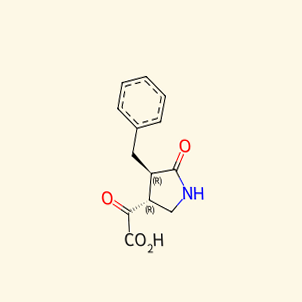 O=C(O)C(=O)[C@H]1CNC(=O)[C@@H]1Cc1ccccc1